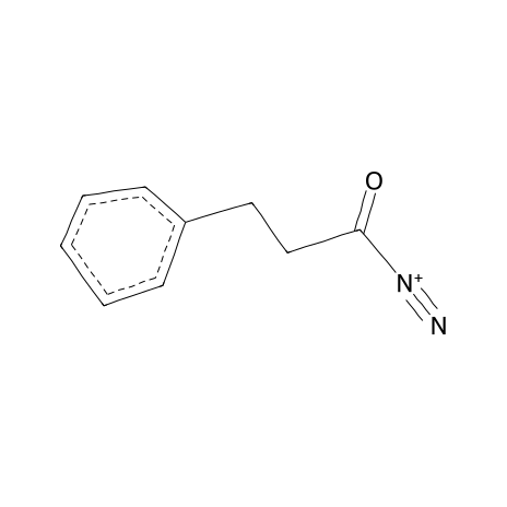 N#[N+]C(=O)CCc1ccccc1